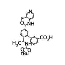 CC(NC(=O)OC(C)(C)C)c1ccc(C(=O)Nc2ccncc2F)cc1-c1cccc(C(=O)O)c1